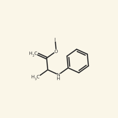 C=C(OI)C(C)Nc1ccccc1